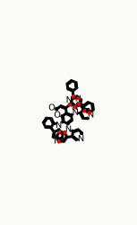 O=c1cc(-c2nc(-c3ccccc3)nc(-c3ccccc3)n2)c2c(-n3c4ccccc4c4cnccc43)cc(-n3c4ccccc4c4cnccc43)c(-n3c4ccccc4c4cnccc43)c2o1